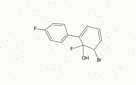 OC1(F)C(c2ccc(F)cc2)=CC=CC1Br